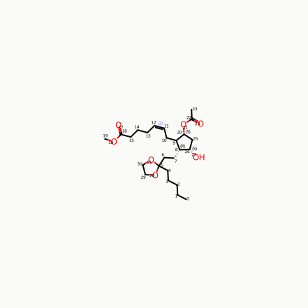 CCCCCC1(CC[C@@H]2C(C/C=C\CCCC(=O)OC)[C@@H](OC(C)=O)C[C@@H]2O)OCCO1